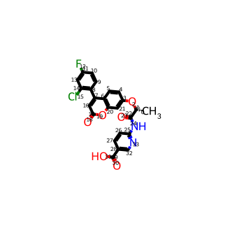 C[C@@H](Oc1ccc2c(-c3ccc(F)cc3Cl)cc(=O)oc2c1)C(=O)Nc1ccc(C(=O)O)cn1